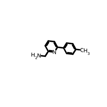 Cc1ccc(-c2cccc(CN)n2)cc1